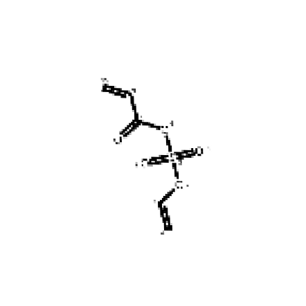 C=COS(=O)(=O)OC(=O)C=C